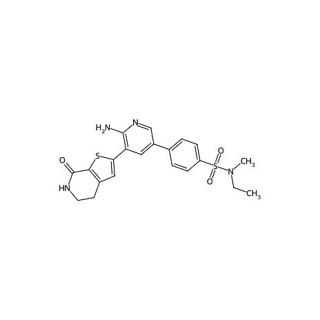 CCN(C)S(=O)(=O)c1ccc(-c2cnc(N)c(-c3cc4c(s3)C(=O)NCC4)c2)cc1